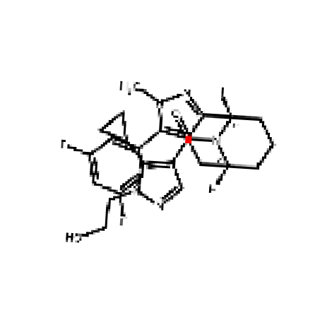 Cn1nc2c(c1-c1cc(F)cc(F)c1)C[C@H]1CCC[C@@H]2N1C(=O)c1cnn(CCO)c1C1CC1